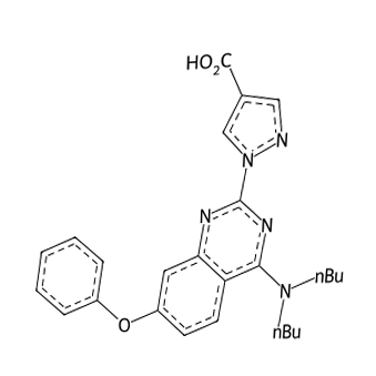 CCCCN(CCCC)c1nc(-n2cc(C(=O)O)cn2)nc2cc(Oc3ccccc3)ccc12